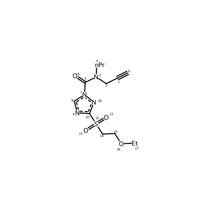 C#CCN(CCC)C(=O)n1cnc(S(=O)(=O)CCOCC)n1